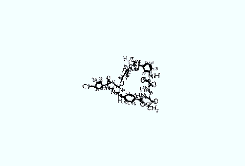 COC(=O)[C@H](CNC(=O)C(=O)Nc1cccc(-c2noc(C)n2)c1)NC(=O)c1ccc(Nc2nc(NC3(c4ccc(Cl)cc4)CC3)nc(OCC(F)(F)F)n2)cc1